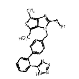 Cc1sc(C(=O)O)c2c1nc(SC(C)C)n2Cc1ccc(-c2ccccc2-c2nnn[nH]2)cc1